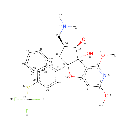 COc1cc2c(c(OC)n1)[C@]1(O)[C@H](O)[C@H](CN(C)C)[C@@H](c3ccccc3)[C@]1(c1ccc(SC(F)(F)F)cc1)O2